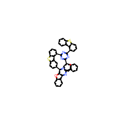 c1ccc(-c2nc(-c3cccc4sc5ccccc5c34)nc(-c3cccc4sc5ccc(-c6nc(-c7ccccc7)nc7c6oc6ccccc67)cc5c34)n2)cc1